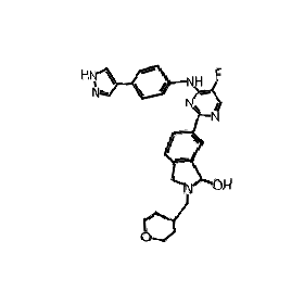 OC1c2cc(-c3ncc(F)c(Nc4ccc(-c5cn[nH]c5)cc4)n3)ccc2CN1CC1CCOCC1